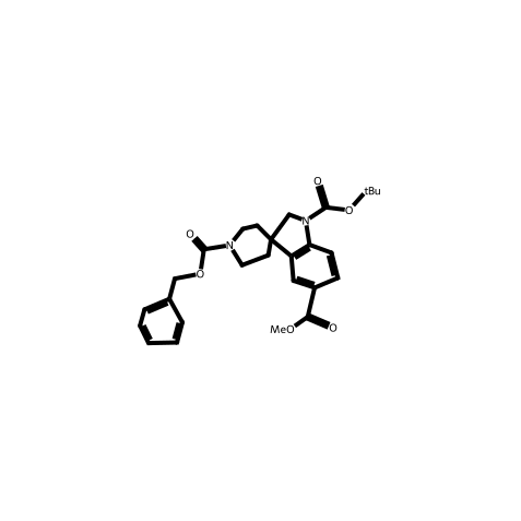 COC(=O)c1ccc2c(c1)C1(CCN(C(=O)OCc3ccccc3)CC1)CN2C(=O)OC(C)(C)C